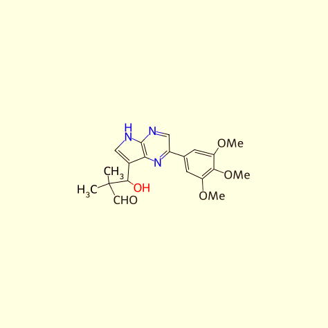 COc1cc(-c2cnc3[nH]cc(C(O)C(C)(C)C=O)c3n2)cc(OC)c1OC